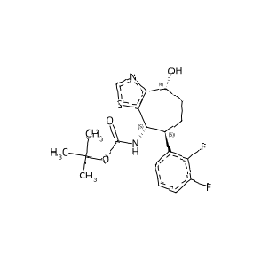 CC(C)(C)OC(=O)N[C@@H]1c2scnc2[C@H](O)CC[C@H]1c1cccc(F)c1F